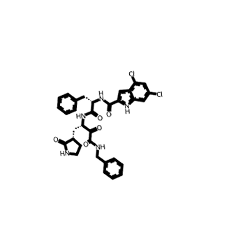 O=C(NCc1ccccc1)C(=O)[C@H](C[C@@H]1CCNC1=O)NC(=O)[C@H](Cc1ccccc1)NC(=O)c1cc2c(Cl)cc(Cl)cc2[nH]1